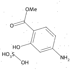 COC(=O)c1ccc(N)cc1O.O=S(=O)(O)O